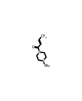 CC(C)(C)N1CCN(C(=O)/C=C/C(F)(F)F)CC1